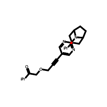 CC(C)C(=O)COCC#Cc1cnc(N2C3CCC2CN(C(C)C)C3)nc1